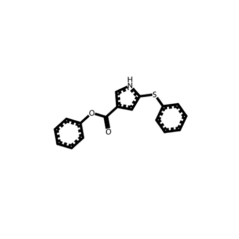 O=C(Oc1ccccc1)c1c[nH]c(Sc2ccccc2)c1